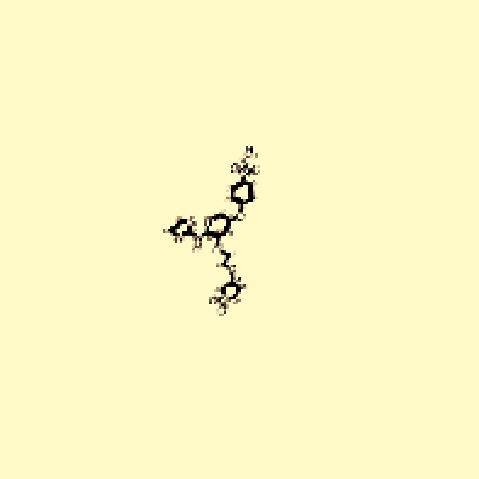 CS(=O)(=O)c1ccc(Oc2cnc(Nc3nccs3)c(OCCOC3CCS(=O)(=O)C3)c2)cc1